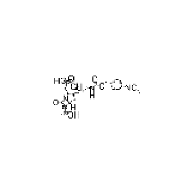 C[C@@H](O)[C@H]1C(=O)N2C(CP(=O)(O)O)=C(SCCNC(=O)OCc3ccc([N+](=O)[O-])cc3)C[C@H]12